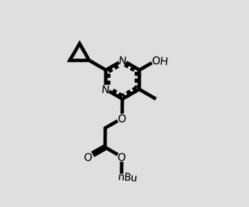 CCCCOC(=O)COc1nc(C2CC2)nc(O)c1C